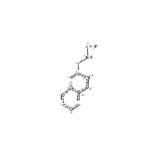 O=C(O)NCc1cc2ccccc2cn1